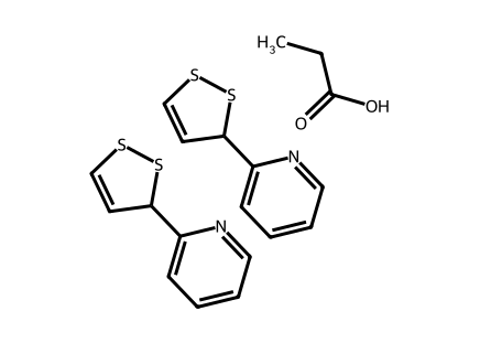 C1=CC(c2ccccn2)SS1.C1=CC(c2ccccn2)SS1.CCC(=O)O